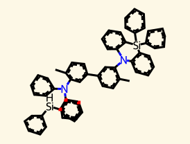 Cc1ccc(-c2ccc(C)c(N3c4ccccc4[Si](c4ccccc4)(c4ccccc4)c4ccccc43)c2)cc1N(c1ccccc1)c1ccccc1[SiH](c1ccccc1)c1ccccc1